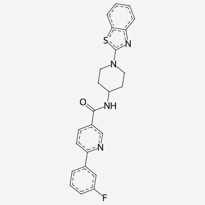 O=C(NC1CCN(c2nc3ccccc3s2)CC1)c1ccc(-c2cccc(F)c2)nc1